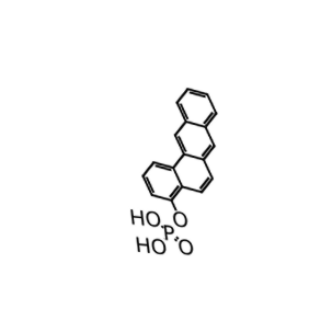 O=P(O)(O)Oc1cccc2c1ccc1cc3ccccc3cc12